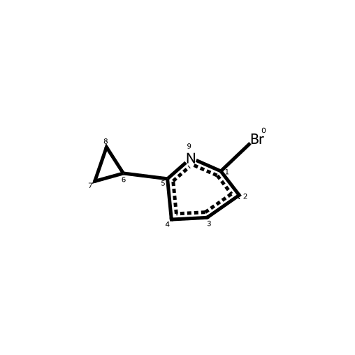 Brc1[c]ccc(C2CC2)n1